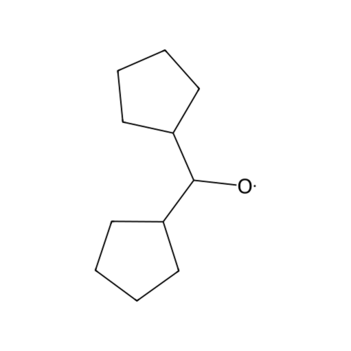 [O]C(C1CCCC1)C1CCCC1